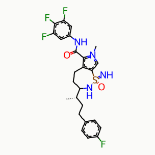 C[C@@H](CCc1ccc(F)cc1)C1CCc2c(cn(C)c2C(=O)Nc2cc(F)c(F)c(F)c2)S(=N)(=O)N1